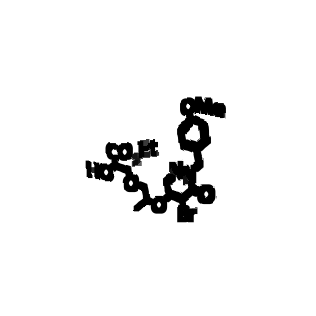 CCOC(=O)C(O)COCC(C)Oc1cnn(Cc2ccc(OC)cc2)c(=O)c1Br